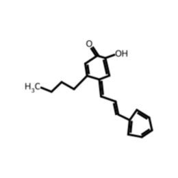 CCCCC1=CC(=O)C(O)=CC1=CC=Cc1ccccc1